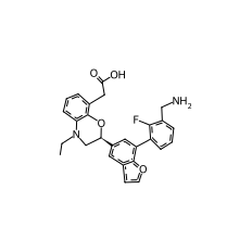 CCN1C[C@H](c2cc(-c3cccc(CN)c3F)c3occc3c2)Oc2c(CC(=O)O)cccc21